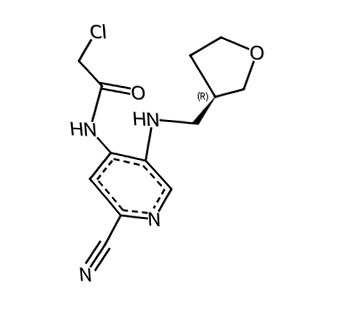 N#Cc1cc(NC(=O)CCl)c(NC[C@H]2CCOC2)cn1